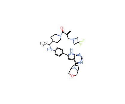 C=C(CN1CC(F)(F)C1)C(=O)N1CCC(C(Nc2ccc(-c3cc4c(N5C6CCC5COC6)ncnc4[nH]3)cc2)C(F)(F)F)CC1